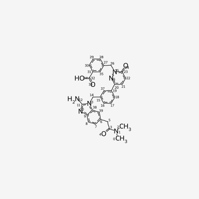 CN(C)C(=O)Cc1ccc2nc(N)n(Cc3cccc(-c4ccc(=O)n(Cc5cccc(C(=O)O)c5)n4)c3)c2c1